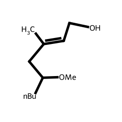 CCCCC(CC(C)=CCO)OC